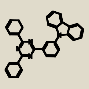 C1=CCCC(c2nc(-c3ccccc3)nc(-c3cccc(-n4c5ccccc5c5ccccc54)c3)n2)=C1